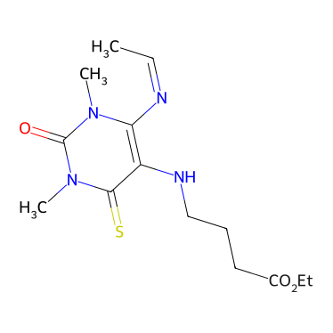 C/C=N\c1c(NCCCC(=O)OCC)c(=S)n(C)c(=O)n1C